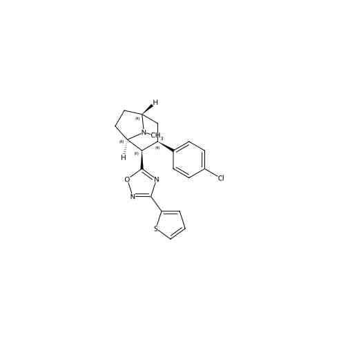 CN1[C@@H]2CC[C@@H]1[C@H](c1nc(-c3cccs3)no1)[C@H](c1ccc(Cl)cc1)C2